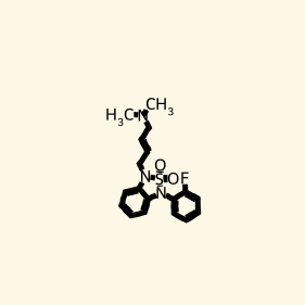 CN(C)CC=CCN1c2ccccc2N(c2ccccc2F)S1(=O)=O